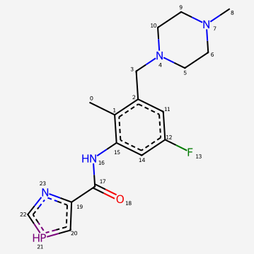 Cc1c(CN2CCN(C)CC2)cc(F)cc1NC(=O)c1c[pH]cn1